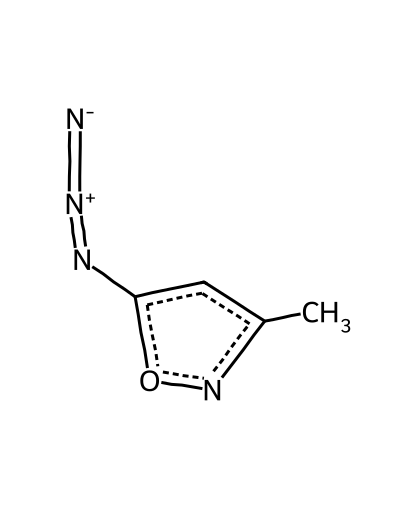 Cc1cc(N=[N+]=[N-])on1